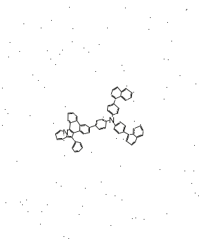 c1ccc(-c2c3c4ccc(-c5ccc(N(c6ccc(-c7cccc8ccccc78)cc6)c6ccc(-c7cccc8ccccc78)cc6)cc5)cc4c4ccccc4c3n3ccccc23)cc1